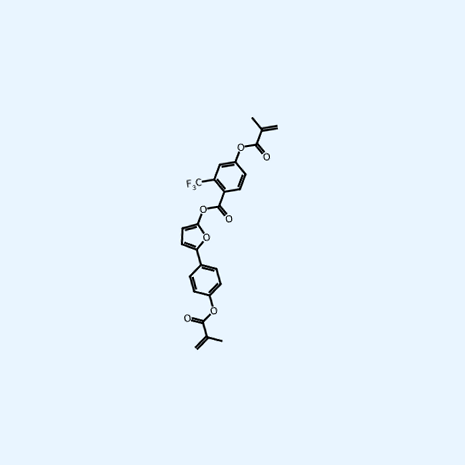 C=C(C)C(=O)Oc1ccc(-c2ccc(OC(=O)c3ccc(OC(=O)C(=C)C)cc3C(F)(F)F)o2)cc1